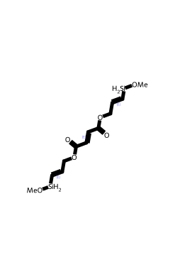 CO[SiH2]/C=C/COC(=O)/C=C/C(=O)OC/C=C/[SiH2]OC